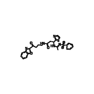 CC(=NS(=O)(=O)c1ccccc1)NC(CC(=O)NCCCC(=O)c1nc2ccccc2o1)c1nccs1